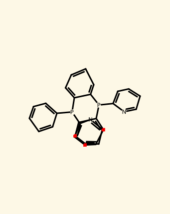 c1ccc(P(c2ccccn2)c2ccccc2P(c2ccccc2)c2ccccn2)cc1